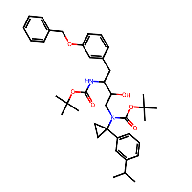 CC(C)c1cccc(C2(N(CC(O)C(Cc3cccc(OCc4ccccc4)c3)NC(=O)OC(C)(C)C)C(=O)OC(C)(C)C)CC2)c1